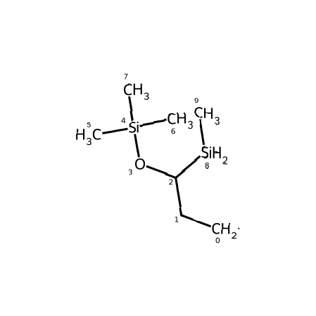 [CH2]CC(O[Si](C)(C)C)[SiH2]C